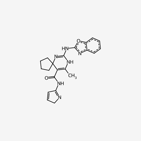 CC1=C(C(=O)NC2=NCC=C2)C2(CCCC2)N=C(Nc2nc3ccccc3o2)N1